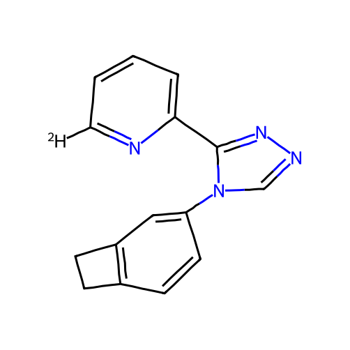 [2H]c1cccc(-c2nncn2-c2ccc3c(c2)CC3)n1